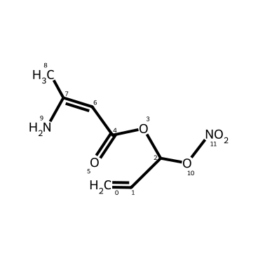 C=CC(OC(=O)C=C(C)N)O[N+](=O)[O-]